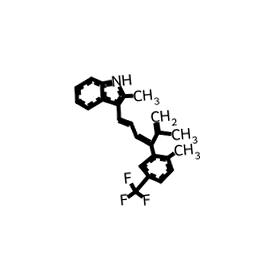 C=C(C)/C(=C\C=C\c1c(C)[nH]c2ccccc12)c1cc(C(F)(F)F)ccc1C